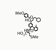 COc1ccc(COC(CC2CCCCC2)CC(O)c2ccc(C(=O)N[C@@H](CCSC)C(=O)O)c(-c3ccccc3C)c2)cc1